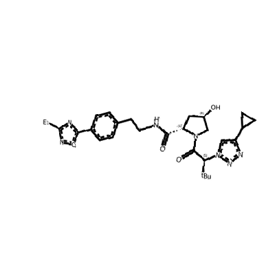 CCc1noc(-c2ccc(CCNC(=O)[C@@H]3C[C@@H](O)CN3C(=O)[C@@H](n3cc(C4CC4)nn3)C(C)(C)C)cc2)n1